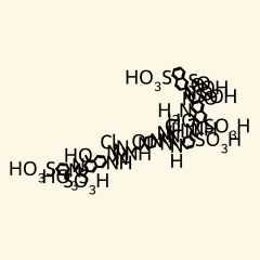 Nc1c(/N=N/c2ccc3c(S(=O)(=O)O)cccc3c2SOOO)c(SOOO)cc2cc(S(=O)(=O)O)c(NNc3cc(Nc4nc(Cl)nc(N5CC[N+]([O-])(CCNc6nc(Cl)nc(Nc7ccc8c(O)c(/N=N/c9ccc(S(=O)(=O)O)cc9S(=O)(=O)O)c(S(=O)(=O)O)cc8c7)n6)CC5)n4)ccc3S(=O)(=O)O)c(O)c12